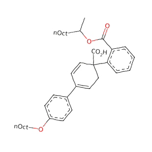 CCCCCCCCOc1ccc(C2=CCC(C(=O)O)(c3ccccc3C(=O)OC(C)CCCCCCCC)C=C2)cc1